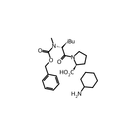 CC[C@H](C)[C@H](C(=O)N1CCC[C@H]1C(=O)O)N(C)C(=O)OCc1ccccc1.NC1CCCCC1